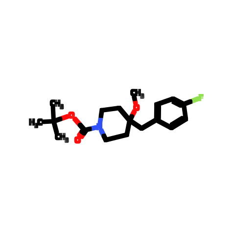 COC1(Cc2ccc(F)cc2)CCN(C(=O)OC(C)(C)C)CC1